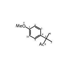 COc1ccc(C(C)(C)C(C)=O)cc1